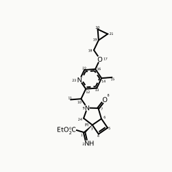 CCOC(=O)C(=N)[C@]12C=CC1C(=O)N(C(C)c1cc(C)c(OCC3CC3)cn1)C2